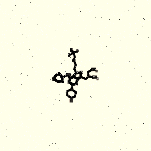 CCN(C)Cc1nn(CCOCC(F)(F)F)c2c(Nc3ccncn3)nc(N3CCNCC3)nc12